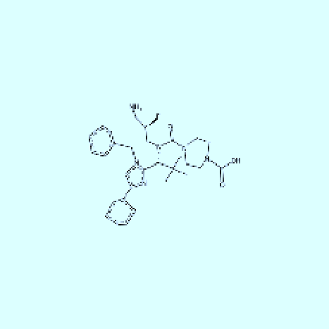 CC(C)(C)[C@H](c1nc(-c2ccccc2)cn1Cc1ccccc1)N(C[C@H](F)CN)C(=O)N1CCN(C(=O)O)CC1